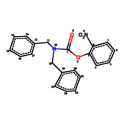 O=C(Oc1ccccc1[N+](=O)[O-])N(Cc1ccccc1)Cc1ccccc1